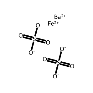 O=S(=O)([O-])[O-].O=S(=O)([O-])[O-].[Ba+2].[Fe+2]